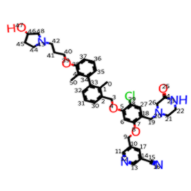 Cc1c(COc2cc(OCc3cncc(C#N)c3)c(CN3CCNC(=O)C3)cc2Cl)cccc1-c1cccc(OCCCN2CCC(O)C2)c1C